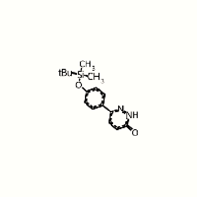 CC(C)(C)[Si](C)(C)Oc1ccc(-c2ccc(=O)[nH]n2)cc1